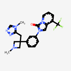 CN1CC(Cc2nncn2C)(c2cccc(-n3cc4c(C(F)(F)F)cccn4c3=O)c2)C1